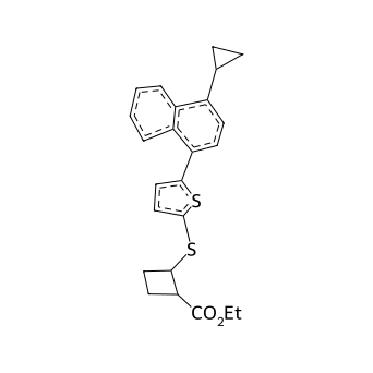 CCOC(=O)C1CCC1Sc1ccc(-c2ccc(C3CC3)c3ccccc23)s1